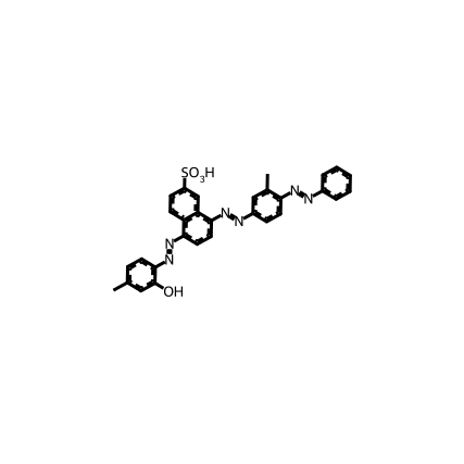 Cc1ccc(N=Nc2ccc(N=Nc3ccc(N=Nc4ccccc4)c(C)c3)c3cc(S(=O)(=O)O)ccc23)c(O)c1